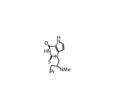 CNC(CC(C)C)Cn1c(=S)[nH]c(=O)c2[nH]ccc21